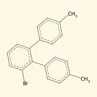 Cc1ccc(-c2cccc(Br)c2-c2ccc(C)cc2)cc1